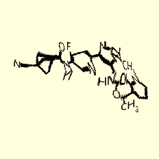 C[C@@H](OC(=O)Nc1c(-c2cc(F)c(NC(=O)C34CC(C#N)(C3)C4)cn2)nnn1C)c1cccnc1Cl